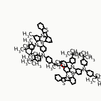 Cc1cc2c3c(c1)-n1c4c(cccc4c4sc5ccccc5c41)B3c1ccc(N(c3ccc(C(C)(C)C)cc3)c3ccc(C(C)(C)Cc4ccc(-c5cc(C(C)(C)C)ccc5N5c6cc(N(c7ccc(C(C)(C)C)cc7)c7ccc(C(C)(C)C)cc7)ccc6B6c7c5cc(C)cc7-n5c7c6cccc7c6sc7ccccc7c65)cc4)cc3)cc1N2c1cc2c(cc1C)C(C)(C)CCC2(C)C